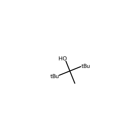 CC(C)(C)C(C)(O)C(C)(C)C